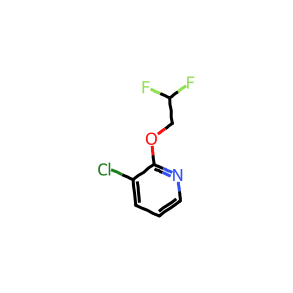 FC(F)COc1ncccc1Cl